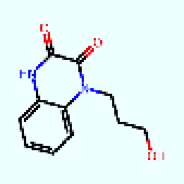 O=c1[nH]c2ccccc2n(CCCO)c1=O